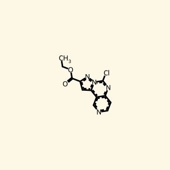 CCOC(=O)c1cc2c3cnccc3nc(Cl)n2n1